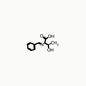 C[C@@H](O)[C@H](N=Cc1ccccc1)C(=O)O